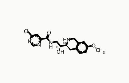 COc1ccc2c(c1)CN[C@H]([C@H](O)CNC(=O)c1cc(Cl)ncn1)C2